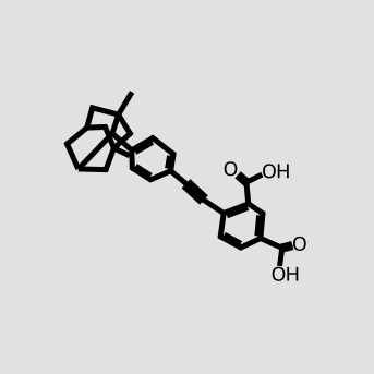 CC12CC3CC(C1)C(c1ccc(C#Cc4ccc(C(=O)O)cc4C(=O)O)cc1)C(C)(C3)C2